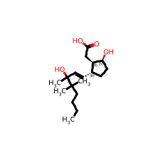 CCCCC(C)(C)C(C)(O)C=C[C@H]1CC[C@H](O)[C@@H]1CC(=O)O